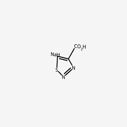 O=C(O)c1csnn1.[NaH]